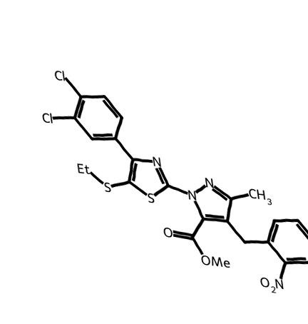 CCSc1sc(-n2nc(C)c(Cc3ccccc3[N+](=O)[O-])c2C(=O)OC)nc1-c1ccc(Cl)c(Cl)c1